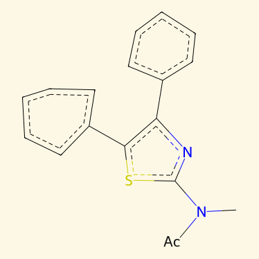 CC(=O)N(C)c1nc(-c2ccccc2)c(-c2ccccc2)s1